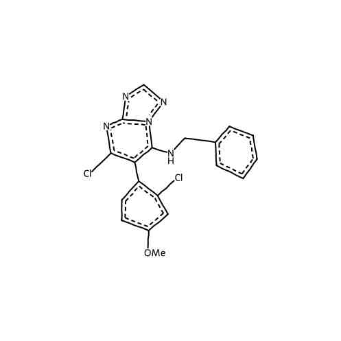 COc1ccc(-c2c(Cl)nc3ncnn3c2NCc2ccccc2)c(Cl)c1